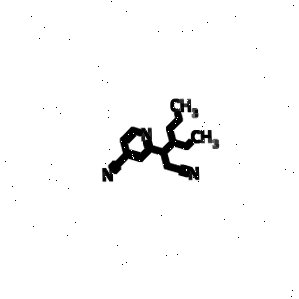 CCCC(CC)C(CC#N)c1cc(C#N)ccn1